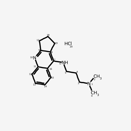 CN(C)CCCNc1c2c(nc3ccccc13)CCC2.Cl